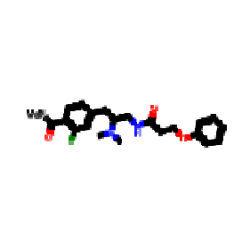 CNC(=O)c1ccc(CC(CNC(=O)CCOc2ccccc2)N(C)C)cc1F